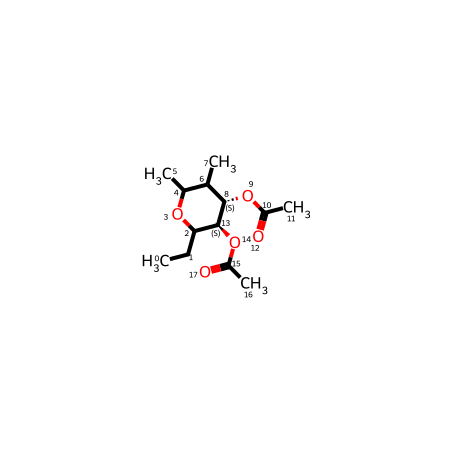 CCC1OC(C)C(C)[C@H](OC(C)=O)[C@H]1OC(C)=O